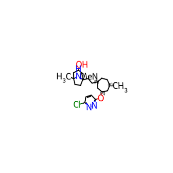 CN[C@@]1(CCC23CCC(C)(CC(O)C2)N3)CC[C@H](C)C[C@@H](Oc2ccc(Cl)nn2)C1